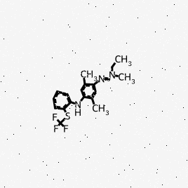 CCN(C)C=Nc1cc(C)c(Nc2ccccc2SC(F)(F)F)cc1C